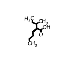 CCCC=C(C(=O)O)C(C)CC